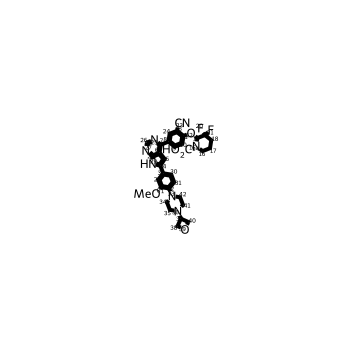 COc1cc(-c2cc3c(-c4ccc(OC5N(C(=O)O)CCCC5(F)F)c(C#N)c4)ncnc3[nH]2)ccc1N1CCN(C2COC2)CC1